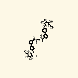 O=C(NCCNC(=O)c1cccc(-c2ccc(OC3OC(CO)C(O)C(O)C3O)cc2)c1)c1cccc(-c2ccc(OC3OC(CO)C(O)C(O)C3O)cc2)c1